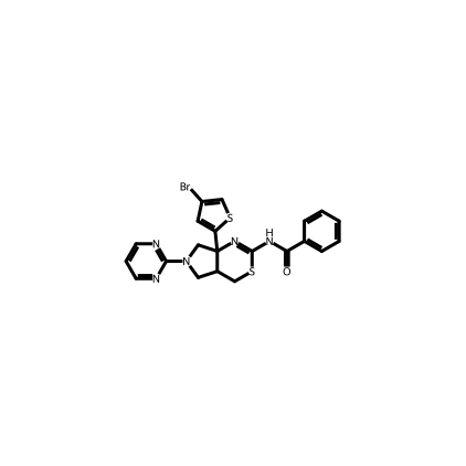 O=C(NC1=NC2(c3cc(Br)cs3)CN(c3ncccn3)CC2CS1)c1ccccc1